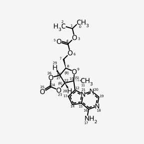 CC(C)OC(=O)OC[C@H]1O[C@@](C)(c2ccc3c(N)ncnn23)[C@@H]2OC(=O)O[C@@H]21